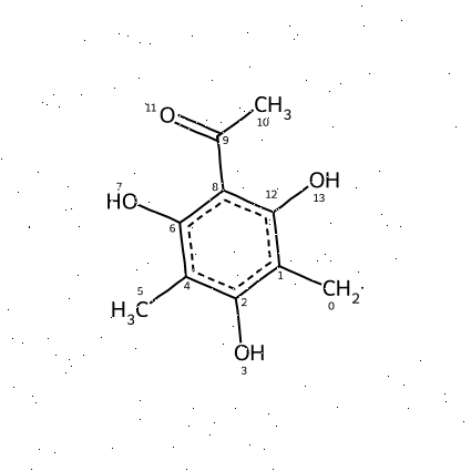 [CH2]c1c(O)c(C)c(O)c(C(C)=O)c1O